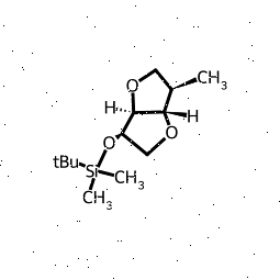 C[C@@H]1CO[C@H]2[C@H]1OC[C@H]2O[Si](C)(C)C(C)(C)C